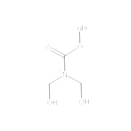 CCCOC(=O)N(CO)CO